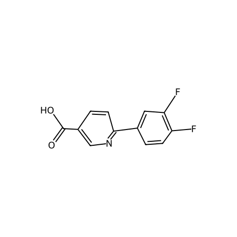 O=C(O)c1ccc(-c2ccc(F)c(F)c2)nc1